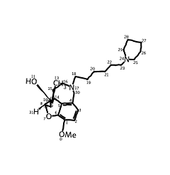 COc1ccc2c3c1O[C@H]1C[C@@H](O)C(C)[C@@]31CCN(CCCCCCN1CCCCC1)C2